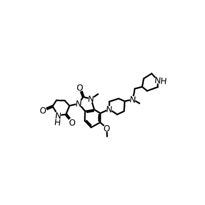 COc1ccc2c(c1N1CCC(N(C)CC3CCNCC3)CC1)n(C)c(=O)n2C1CCC(=O)NC1=O